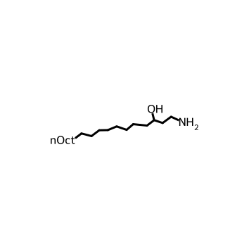 CCCCCCCCCCCCCCCCC(O)CCN